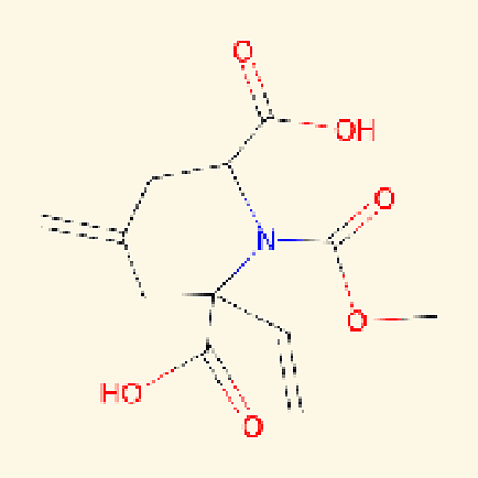 C=CC1(C(=O)O)CC(=C)CC(C(=O)O)N1C(=O)OC